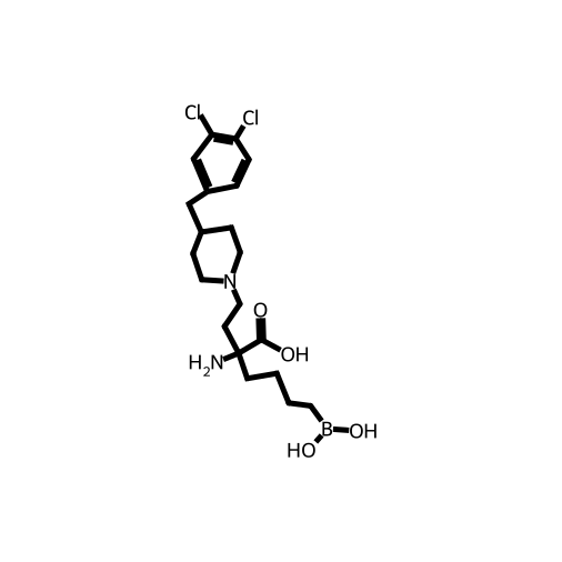 NC(CCCCB(O)O)(CCN1CCC(Cc2ccc(Cl)c(Cl)c2)CC1)C(=O)O